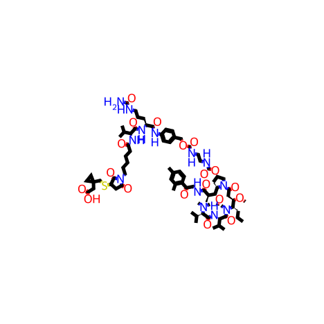 CCC[C@@H]([C@@H](CC(=O)N1C[C@@H](OC(=O)NCCNC(=O)OCc2ccc(NC(=O)[C@H](CCCNC(N)=O)NC(=O)[C@@H](NC(=O)CCCCCN3C(=O)CC(SCC4(CC(=O)O)CC4)C3=O)C(C)C)cc2)C[C@H]1[C@H](OC)[C@@H](C)C(=O)NCC(=O)c1ccc(C)cc1C)OC)N(C)C(=O)[C@@H](NC(=O)[C@H](C(C)C)N(C)C)C(C)C